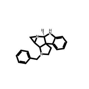 c1ccc(CN2CCC34c5ccccc5N[C@@H]3N3CC3C24)cc1